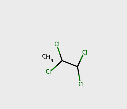 C.ClC(Cl)C(Cl)Cl